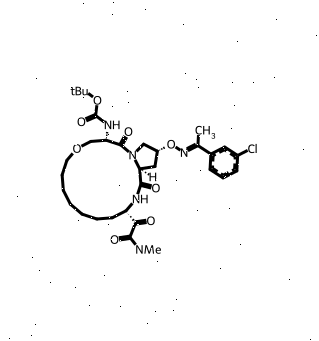 CNC(=O)C(=O)[C@@H]1CCCCCCCOC[C@H](NC(=O)OC(C)(C)C)C(=O)N2C[C@H](O/N=C(\C)c3cccc(Cl)c3)C[C@H]2C(=O)N1